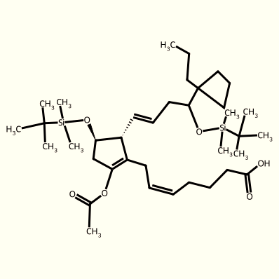 CCCC1(C(C/C=C/[C@@H]2C(C/C=C\CCCC(=O)O)=C(OC(C)=O)C[C@H]2O[Si](C)(C)C(C)(C)C)O[Si](C)(C)C(C)(C)C)CCC1